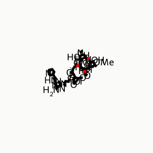 CO[C@]1(C)C[C@@H](C)C(=O)[C@H](C)[C@H]2[C@H](SCCn3cnc4c(N)nc(NCc5cccnc5)nc43)C(=O)O[C@]2(C)[C@@H](I)OC(=O)[C@H](C)[C@H]2O[C@H]3C[C@@](C)(OC)[C@@H](O)[C@H](C[C@@H]4C[C@H](N(C)C)[C@@H](O)[C@@H](O4)O[C@@H]1[C@H]2C)O3